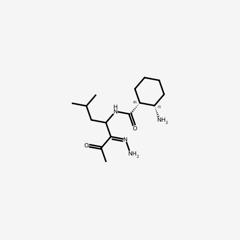 CC(=O)C(=NN)C(CC(C)C)NC(=O)[C@@H]1CCCC[C@@H]1N